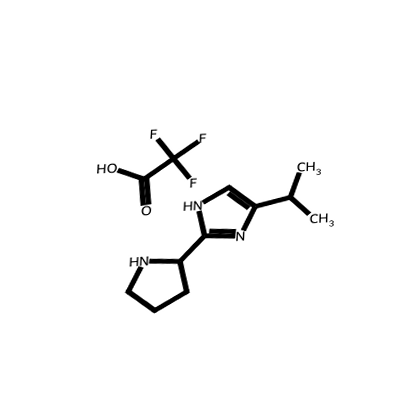 CC(C)c1c[nH]c(C2CCCN2)n1.O=C(O)C(F)(F)F